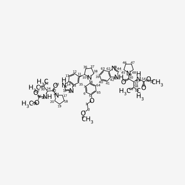 COCCOc1ccc(N2[C@@H](c3ccc4[nH]c([C@@H]5CCCN5C(=O)[C@@H](NC(=O)OC)C(C)C)nc4c3)CC[C@@H]2c2ccc3[nH]c([C@@H]4CCCN4C(=O)[C@@H](NC(=O)OC)C(C)C)nc3c2)cc1